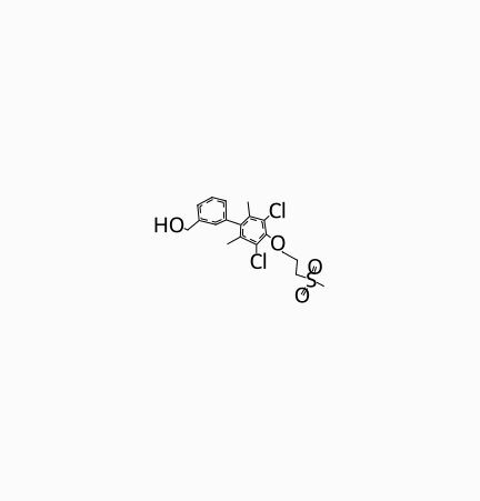 Cc1c(Cl)c(OCCCS(C)(=O)=O)c(Cl)c(C)c1-c1cccc(CO)c1